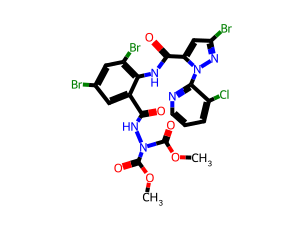 COC(=O)N(NC(=O)c1cc(Br)cc(Br)c1NC(=O)c1cc(Br)nn1-c1ncccc1Cl)C(=O)OC